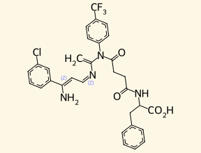 C=C(/N=C\C=C(/N)c1cccc(Cl)c1)N(C(=O)CCC(=O)NC(Cc1ccccc1)C(=O)O)c1ccc(C(F)(F)F)cc1